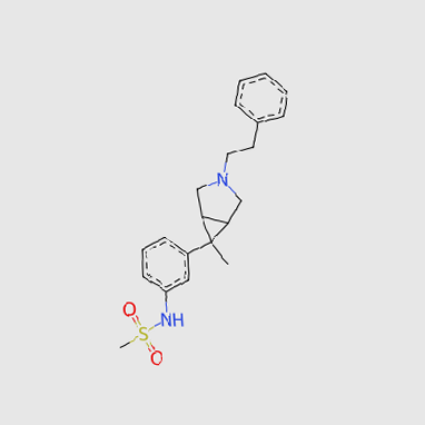 CC1(c2cccc(NS(C)(=O)=O)c2)C2CN(CCc3ccccc3)CC21